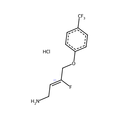 Cl.NC/C=C(\F)COc1ccc(C(F)(F)F)cc1